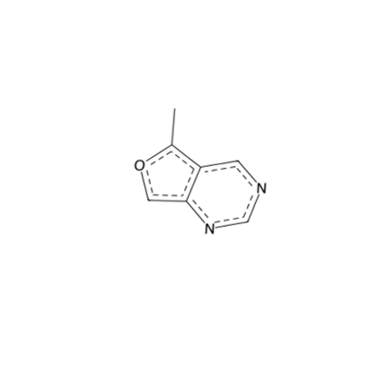 Cc1occ2ncncc12